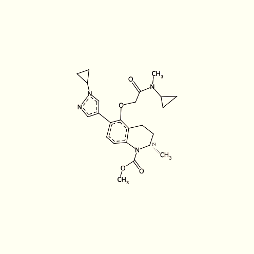 COC(=O)N1c2ccc(-c3cnn(C4CC4)c3)c(OCC(=O)N(C)C3CC3)c2CC[C@@H]1C